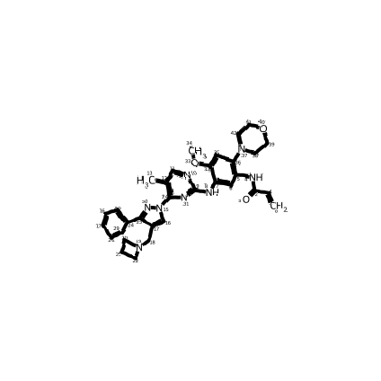 C=CC(=O)Nc1cc(Nc2ncc(C)c(-n3cc(CN4CCC4)c(-c4ccccc4)n3)n2)c(OC)cc1N1CCOCC1